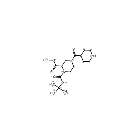 COC(=O)C1CN(C(=O)C2CCNCC2)CCN1C(=O)OC(C)(C)C